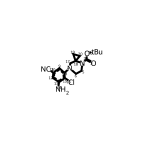 CC(C)(C)OC(=O)N1CCN(c2cc(C#N)cc(N)c2Cl)CC12CC2